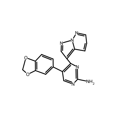 Nc1ncc(-c2ccc3c(c2)OCO3)c(-c2cnn3ncccc23)n1